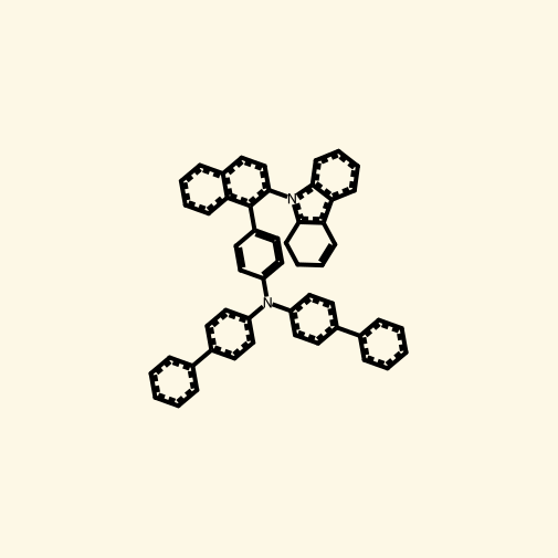 C1=C=C(N(c2ccc(-c3ccccc3)cc2)c2ccc(-c3ccccc3)cc2)C=CC=1c1c(-n2c3c(c4ccccc42)C=CCC3)ccc2ccccc12